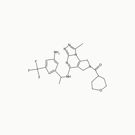 Cc1nnc2nc(NC(C)c3cc(N)cc(C(F)(F)F)c3)c3c(n12)CN(C(=O)C1CCOCC1)C3